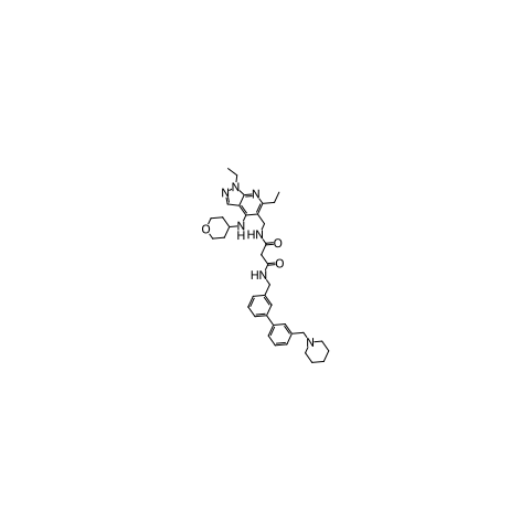 CCc1nc2c(cnn2CC)c(NC2CCOCC2)c1CNC(=O)CC(=O)NCc1cccc(-c2cccc(CN3CCCCC3)c2)c1